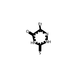 CCc1n[nH]c(=S)[nH]c1=O